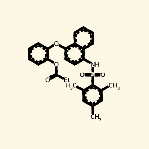 CCC(=O)Oc1ccccc1Oc1ccc(NS(=O)(=O)c2c(C)cc(C)cc2C)c2ccccc12